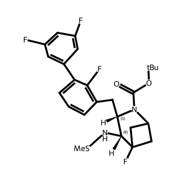 CSN[C@@H]1[C@H](Cc2cccc(-c3cc(F)cc(F)c3)c2F)N(C(=O)OC(C)(C)C)C2CC1(F)C2